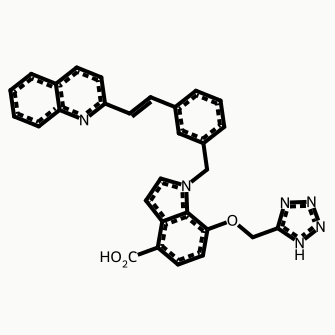 O=C(O)c1ccc(OCc2nnn[nH]2)c2c1ccn2Cc1cccc(/C=C/c2ccc3ccccc3n2)c1